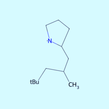 CC(CC1CCC[N]1)CC(C)(C)C